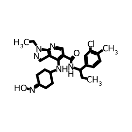 CCC(NC(=O)c1cnc2c(cnn2CC)c1NC1CCC(=NO)CC1)c1ccc(C)c(Cl)c1